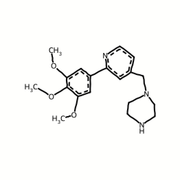 COc1cc(-c2cc(CN3CCNCC3)ccn2)cc(OC)c1OC